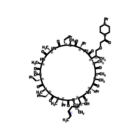 C/C=C/C[C@@H](C)[C@@H](O)[C@H]1C(=O)N[C@@H](CCC)C(=O)N(C)[C@H](C)C(=O)N(C)[C@@H]([C@H](C)COCC(=O)N2CCN(C(C)C)CC2)C(=O)N[C@@H](C(C)C)C(=O)N(C)[C@@H](CC(C)C)C(=O)N[C@@H](C)C(=O)N[C@H](C)C(=O)N(C)[C@@H](CC(C)C)C(=O)N(C)[C@@H](CC(C)C)C(=O)N(C)[C@@H](C(C)C)C(=O)N1C